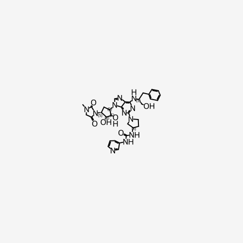 CN1CC(=O)N([C@H]2C[C@@H](n3cnc4c(N[C@H](CO)Cc5ccccc5)nc(N5CC[C@@H](NC(=O)Nc6cccnc6)C5)nc43)[C@H](O)[C@@H]2O)C1=O